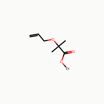 C=CCOC(C)(C)C(=O)OCC